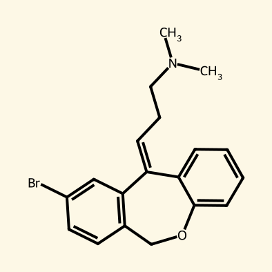 CN(C)CC/C=C1/c2cc(Br)ccc2COc2ccccc21